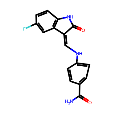 NC(=O)c1ccc(N/C=C2\C(=O)Nc3ccc(F)cc32)cc1